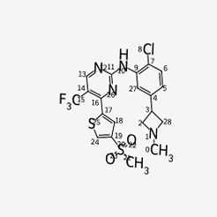 CN1CC(c2ccc(Cl)c(Nc3ncc(C(F)(F)F)c(-c4cc(S(C)(=O)=O)cs4)n3)c2)C1